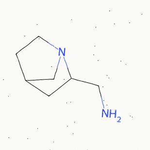 NCC1CC2CCN1C2